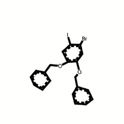 Brc1cc(OCc2ccccc2)c(OCc2ccccc2)cc1I